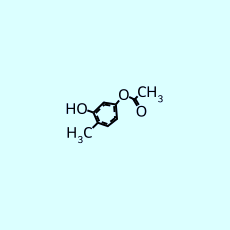 CC(=O)Oc1ccc(C)c(O)c1